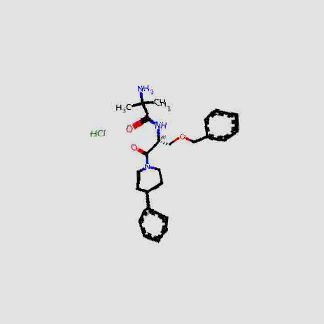 CC(C)(N)C(=O)N[C@H](COCc1ccccc1)C(=O)N1CCC(c2ccccc2)CC1.Cl